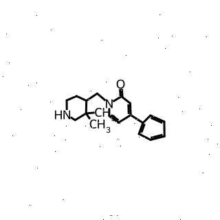 CC1(C)CNCCC1Cn1ccc(-c2ccccc2)cc1=O